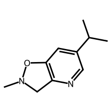 CC(C)c1cnc2c(c1)ON(C)C2